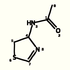 CC(=O)NC1CSC=N1